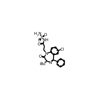 CC[C@H](C)C1N=C(c2ccccc2)c2cc(Cl)ccc2N(CCC(=O)NS(N)(=O)=O)C1=O